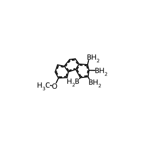 Bc1c(B)c(B)c2c(ccc3ccc(OC)cc32)c1B